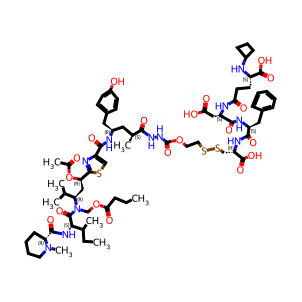 CCCC(=O)OCN(C(=O)[C@@H](NC(=O)[C@H]1CCCCN1C)C(C)CC)[C@H](C[C@@H](OC(C)=O)c1nc(C(=O)N[C@@H](Cc2ccc(O)cc2)C[C@H](C)C(=O)NNC(=O)OCCSSC[C@H](NC(=O)[C@H](Cc2ccccc2)NC(=O)[C@H](CC(=O)O)NC(=O)CC[C@H](NC2CCC2)C(=O)O)C(=O)O)cs1)C(C)C